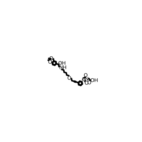 CC1(C)OCc2cc([C@H](O)CNCCCCCCOCCC#Cc3cccc(N4CC(=O)N(CC(=O)O)C4=O)c3)ccc2O1